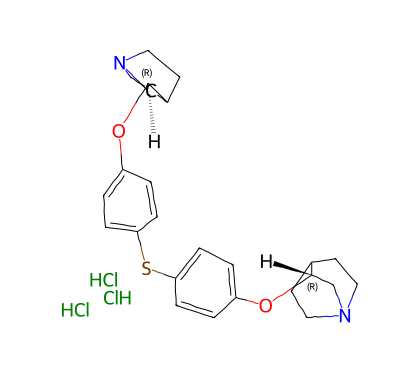 Cl.Cl.Cl.c1cc(Sc2ccc(O[C@H]3CN4CCC3CC4)cc2)ccc1O[C@H]1CN2CCC1CC2